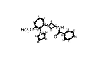 O=C(NC1CN(c2cccc(C(=O)O)c2-n2cccc2)C1)c1ccccc1